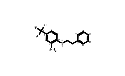 Nc1cc(C(F)(F)F)ccc1NCCc1ccccc1